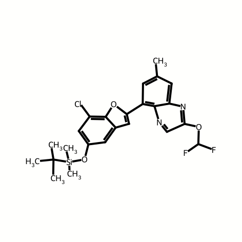 Cc1cc(-c2cc3cc(O[Si](C)(C)C(C)(C)C)cc(Cl)c3o2)c2ncc(OC(F)F)nc2c1